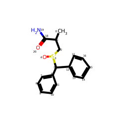 CC(C[S+]([O-])C(c1ccccc1)c1ccccc1)C(N)=O